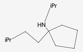 CC(C)CCC1(NC(C)C)CCCC1